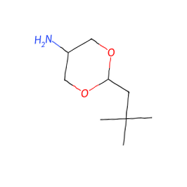 CC(C)(C)CC1OCC(N)CO1